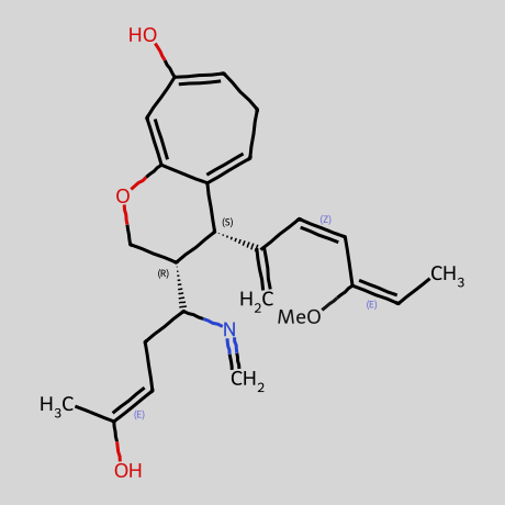 C=NC(C/C=C(\C)O)[C@@H]1COC2=CC(O)=CCC=C2[C@@H]1C(=C)/C=C\C(=C/C)OC